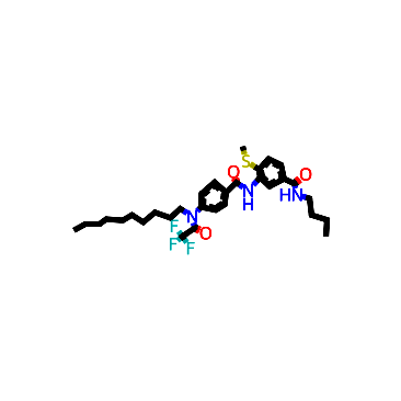 CCCCCCCCCCN(C(=O)C(F)(F)F)c1ccc(C(=O)Nc2cc(C(=O)NCCCC)ccc2SC)cc1